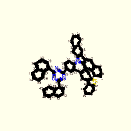 c1ccc2cc3c(cc2c1)c1cc2ccccc2cc1n3-c1ccc(-c2nc(-c3cccc4ccccc34)nc(-c3cccc4ccccc34)n2)cc1-c1ccc2sc3ccccc3c2c1